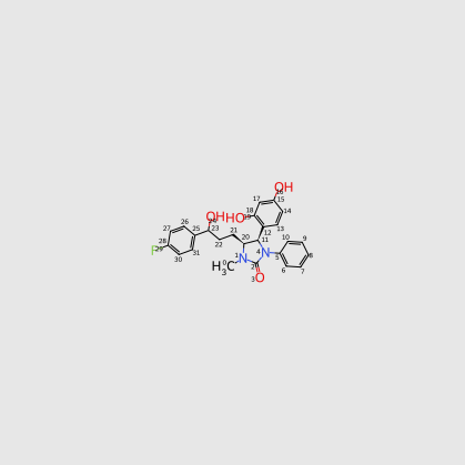 CN1C(=O)N(c2ccccc2)[C@H](c2ccc(O)cc2O)[C@@H]1CCC(O)c1ccc(F)cc1